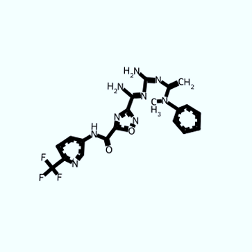 C=C(/N=C(N)\N=C(/N)c1noc(C(=O)Nc2ccc(C(F)(F)F)nc2)n1)N(C)c1ccccc1